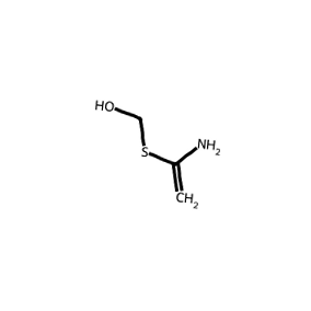 C=C(N)SCO